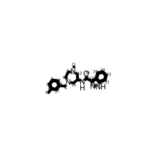 Cc1cccc(CN2CCN(C)CC(NC(=O)c3n[nH]c4ccccc34)C2)c1